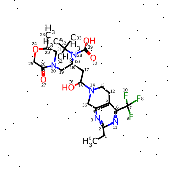 CCc1nc2c(c(C(F)(F)F)n1)CCN(C(O)C[C@@H](CN1C[C@H](C)OCC1=O)N(C(=O)O)C(C)(C)C)C2